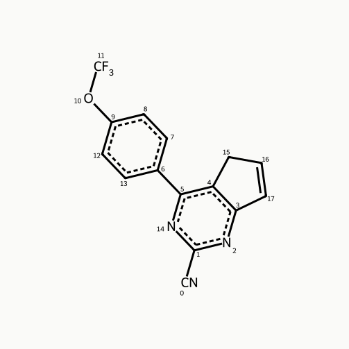 N#Cc1nc2c(c(-c3ccc(OC(F)(F)F)cc3)n1)CC=C2